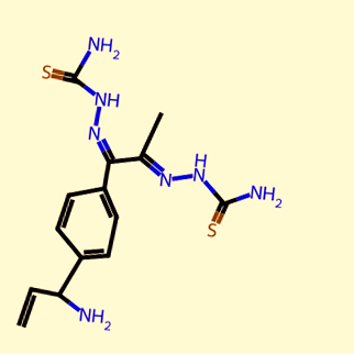 C=CC(N)c1ccc(C(=NNC(N)=S)C(C)=NNC(N)=S)cc1